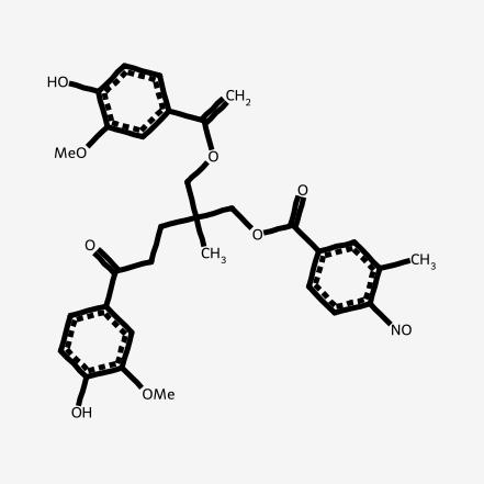 C=C(OCC(C)(CCC(=O)c1ccc(O)c(OC)c1)COC(=O)c1ccc(N=O)c(C)c1)c1ccc(O)c(OC)c1